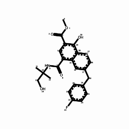 COC(=O)c1cc(C(=O)NC(C)(C)CO)c2cc(Cc3ccc(F)cc3)cnc2c1O